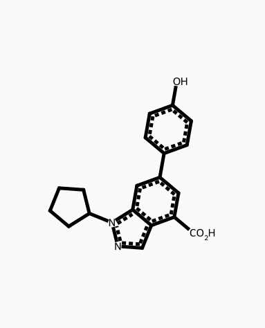 O=C(O)c1cc(-c2ccc(O)cc2)cc2c1cnn2C1CCCC1